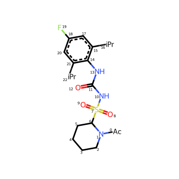 CC(=O)N1CCCCC1S(=O)(=O)NC(=O)Nc1c(C(C)C)cc(F)cc1C(C)C